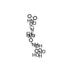 CON(C(=O)CCN1CCC(OC(=O)Nc2ccccc2-c2ccccc2)CC1)c1ccc(CNCC(O)c2ccc(O)c3[nH]c(=O)ccc23)cc1